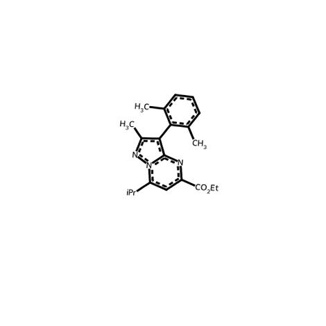 CCOC(=O)c1cc(C(C)C)n2nc(C)c(-c3c(C)cccc3C)c2n1